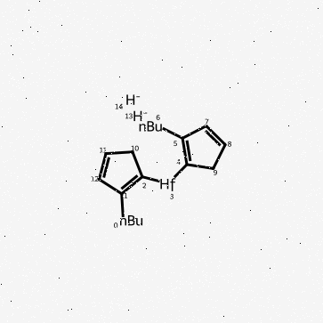 CCCCC1=[C]([Hf][C]2=C(CCCC)C=CC2)CC=C1.[H-].[H-]